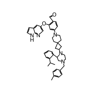 Cc1ccc(CN2CCN(C3CC4(CCN(c5ccc(C=O)c(Oc6cnc7[nH]ccc7c6)c5)CC4)C3)C(c3ccccc3C(C)C)C2)cc1